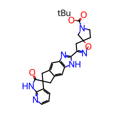 CC(C)(C)OC(=O)N1CCC2(CC(c3nc4cc5c(cc4[nH]3)CC3(C5)C(=O)Nc4ncccc43)=NO2)C1